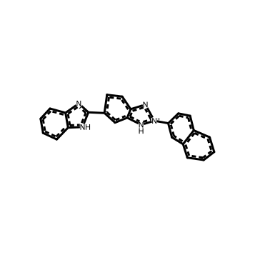 c1ccc2cc(-[n+]3nc4ccc(-c5nc6ccccc6[nH]5)cc4[nH]3)ccc2c1